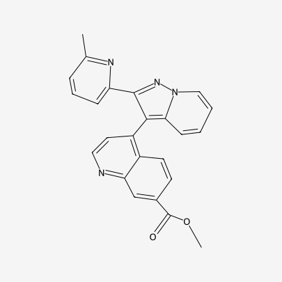 COC(=O)c1ccc2c(-c3c(-c4cccc(C)n4)nn4ccccc34)ccnc2c1